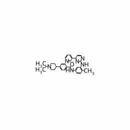 Cc1ccc(NC(=O)c2ccc(C3CCN(C(C)C)CC3)cc2)cc1Nc1nccc(-c2cccnc2)n1